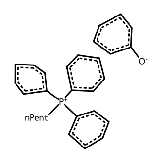 CCCCC[P+](c1ccccc1)(c1ccccc1)c1ccccc1.[O-]c1ccccc1